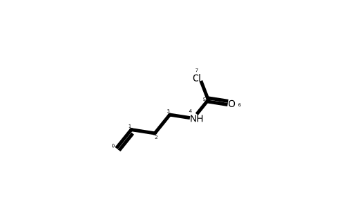 C=CCCNC(=O)Cl